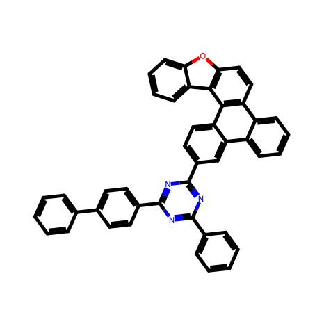 c1ccc(-c2ccc(-c3nc(-c4ccccc4)nc(-c4ccc5c(c4)c4ccccc4c4ccc6oc7ccccc7c6c45)n3)cc2)cc1